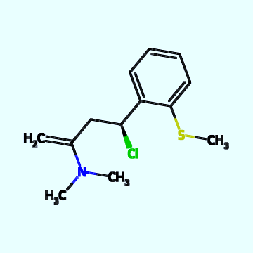 C=C(C[C@H](Cl)c1ccccc1SC)N(C)C